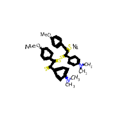 COc1ccc(C(=S)C(=S)c2ccc(N(C)C)cc2)cc1.COc1ccc(C(=S)C(=S)c2ccc(N(C)C)cc2)cc1.[Ni]